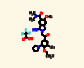 CCOc1cc2c(cc1C(=O)N(C)C)C(=N)N(CC(=O)c1cc(N3CCCC3)c(OCC(=O)O)c(C(C)(C)C)c1)C2.O=C(O)C(F)(F)F